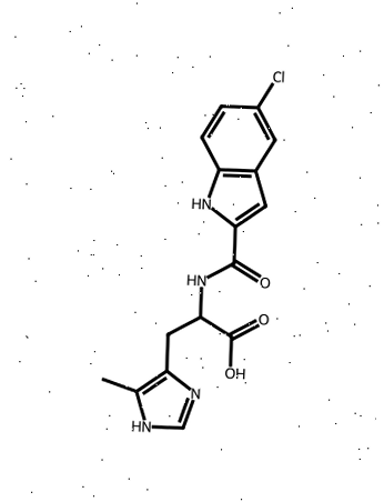 Cc1[nH]cnc1CC(NC(=O)c1cc2cc(Cl)ccc2[nH]1)C(=O)O